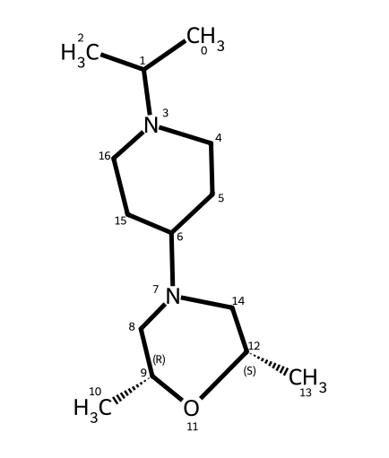 CC(C)N1CCC(N2C[C@@H](C)O[C@@H](C)C2)CC1